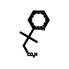 CC(C)(CC(=O)O)c1ccccn1